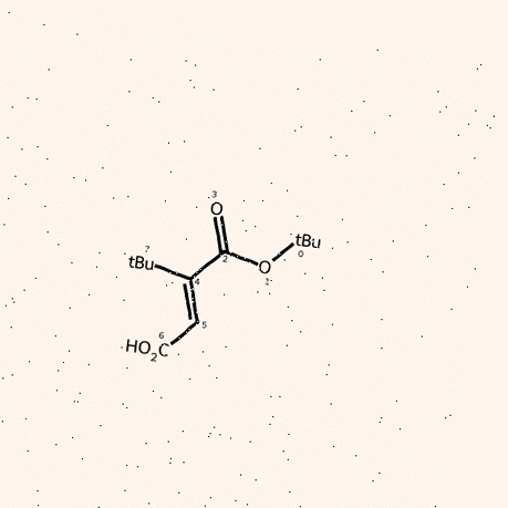 CC(C)(C)OC(=O)C(=CC(=O)O)C(C)(C)C